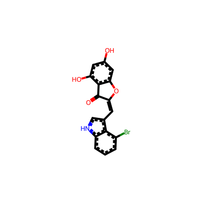 O=C1/C(=C\c2c[nH]c3cccc(Br)c23)Oc2cc(O)cc(O)c21